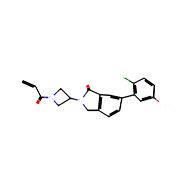 C=CC(=O)N1CC(N2Cc3ccc(-c4cc(O)ccc4Cl)cc3C2=O)C1